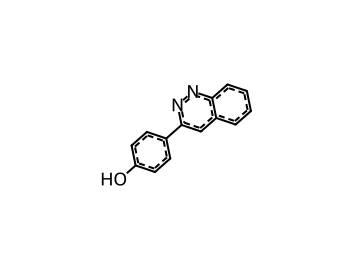 Oc1ccc(-c2cc3ccccc3nn2)cc1